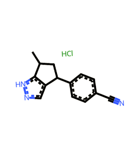 CC1CC(c2ccc(C#N)cc2)c2cn[nH]c21.Cl